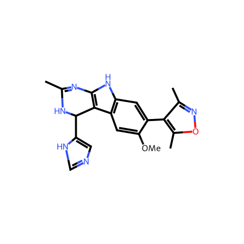 COc1cc2c3c([nH]c2cc1-c1c(C)noc1C)N=C(C)NC3c1cnc[nH]1